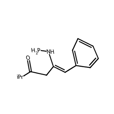 CC(C)C(=O)CC(=Cc1ccccc1)NP